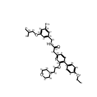 CCOc1ccc(-c2ccc(CC(=O)NCc3cc(F)cc(OCC(C)C)c3)nc2OCCN2CCOCC2)cc1